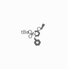 C#CCO[C@@H]1CC[C@H](Cc2ccccc2)N(C(=O)OC(C)(C)C)C1